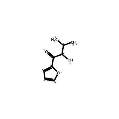 CC(C)C(O)C(=O)c1ccco1